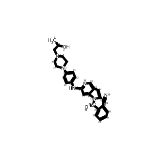 CC(O)CN1CCN(c2ccc(Nc3cc4c(ccn4[S+]([O-])c4ccccc4C#N)cn3)cc2)CC1